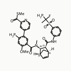 COc1cc(P)c(-c2ccnc(C(=O)SC)c2)cc1C(=O)N(C)[C@H]1[C@@H](C(=O)Nc2cccc(S(=O)(=O)C(C)(F)P)c2)[C@H]2C=C[C@H]1C2